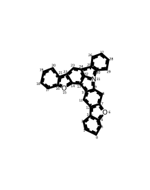 c1ccc2c(c1)oc1cc3c(cc12)c1c2oc4ccccc4c2cc2c4ccccc4n3c21